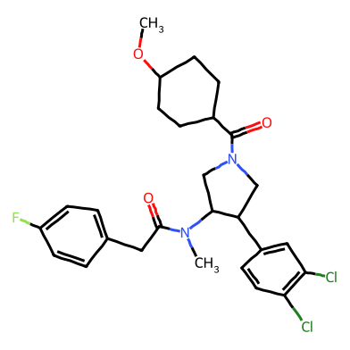 COC1CCC(C(=O)N2CC(c3ccc(Cl)c(Cl)c3)C(N(C)C(=O)Cc3ccc(F)cc3)C2)CC1